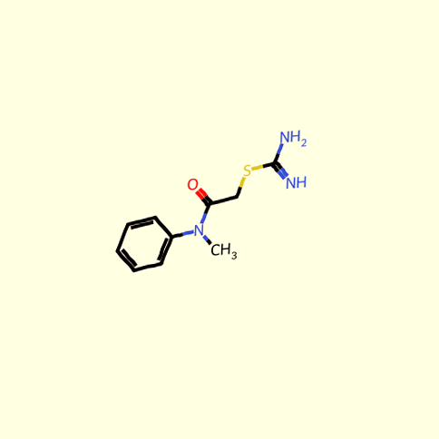 CN(C(=O)CSC(=N)N)c1ccccc1